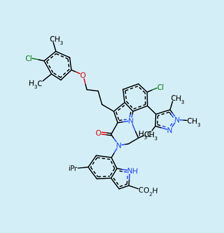 Cc1cc(OCCCc2c3n(c4c(-c5c(C)nn(C)c5C)c(Cl)ccc24)C(C)CN(c2cc(C(C)C)cc4cc(C(=O)O)[nH]c24)C3=O)cc(C)c1Cl